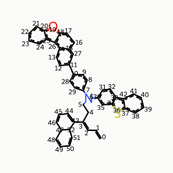 C=C/C=C(\CCN(c1ccc(-c2ccc3c(ccc4oc5ccccc5c43)c2)cc1)c1ccc2c(c1)sc1ccccc12)C1=CC=CC2C=CC=CC12